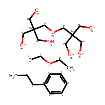 CCCc1ccccc1.CCOCC.OCC(CO)(CO)COCC(CO)(CO)CO